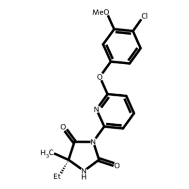 CC[C@@]1(C)NC(=O)N(c2cccc(Oc3ccc(Cl)c(OC)c3)n2)C1=O